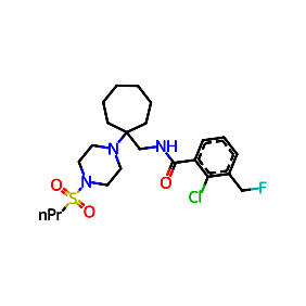 CCCS(=O)(=O)N1CCN(C2(CNC(=O)c3cccc(CF)c3Cl)CCCCCC2)CC1